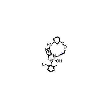 Cc1cccc(Cl)c1N1Cc2cnc3nc2N(C/C=C/COCc2cccc(c2)N3)C1O